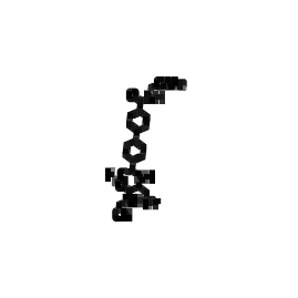 COCNC(=O)c1ccc(-c2ccc(C(NC(CC(C)C)C(=O)NCC#N)C(F)(F)F)cc2)cc1